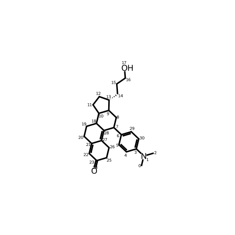 CN(C)c1ccc(C2CC3C(CC[C@@H]3CCCO)C3CCC4=CC(=O)CCC4=C23)cc1